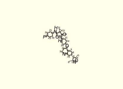 Cc1noc(C)c1-c1ccc2c(Oc3ccc(NC(=O)C4(C(=O)Nc5ccc(F)cc5)CC4)cc3)ccnc2c1